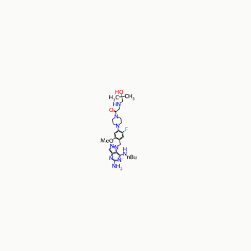 CCCCNc1nc(N)nc2cnn(Cc3cc(F)c(N4CCN(C(=O)CNCC(C)(C)O)CC4)cc3OC)c12